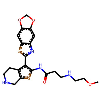 COCCNCCC(=O)Nc1sc2c(c1-c1nc3cc4c(cc3s1)OCO4)CCNC2